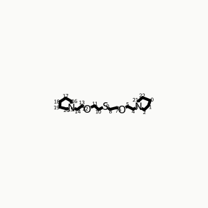 C1CCN(CCOCCSCCOCCN2CCCCC2)CC1